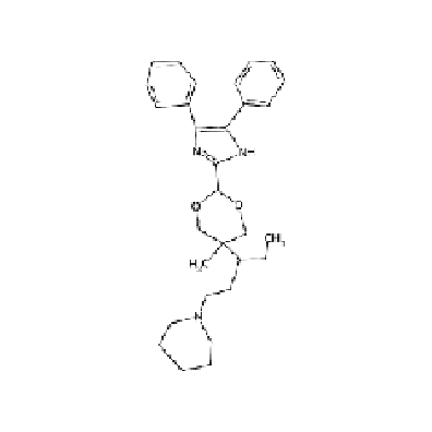 CCC(CCN1CCCCC1)C1(C)COC(c2nc(-c3ccccc3)c(-c3ccccc3)[nH]2)OC1